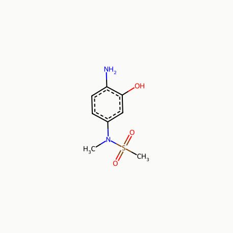 CN(c1ccc(N)c(O)c1)S(C)(=O)=O